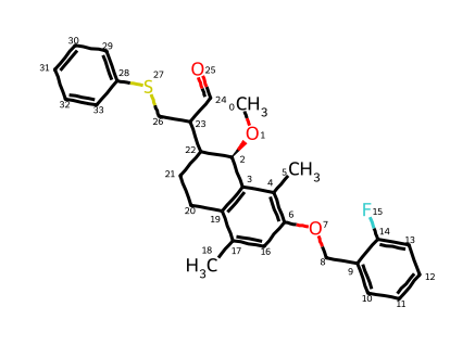 CO[C@H]1c2c(C)c(OCc3ccccc3F)cc(C)c2CCC1C(C=O)CSc1ccccc1